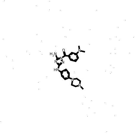 CN1CCN(c2ccc(Nc3nc(N)n(C(=O)c4cccc(N(C)C)c4)n3)cc2)CC1